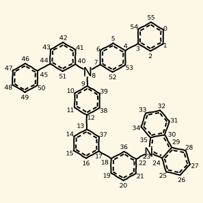 c1ccc(-c2ccc(N(c3ccc(-c4cccc(-c5cccc(-n6c7ccccc7c7ccccc76)c5)c4)cc3)c3cccc(-c4ccccc4)c3)cc2)cc1